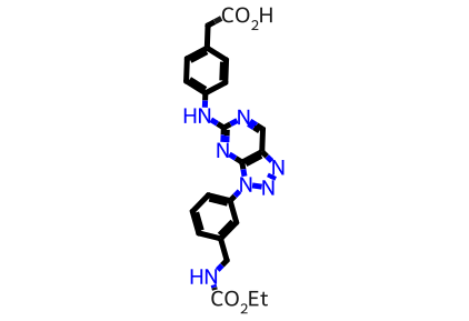 CCOC(=O)NCc1cccc(-n2nnc3cnc(Nc4ccc(CC(=O)O)cc4)nc32)c1